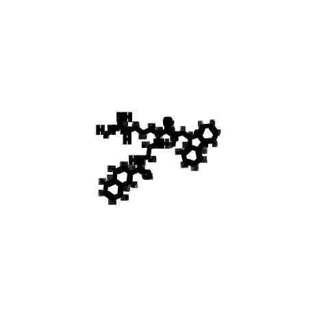 CN(CC1c2ccccc2-c2ccccc21)C(=O)[C@H](CCCNC(=N)N)NCCNC(=O)c1ccc2ccccc2c1